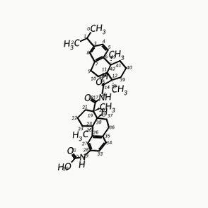 CC(C)c1ccc2c(c1)CC[C@H]1[C@](C)(C(=O)NC(=O)[C@@]3(C)CCC[C@]4(C)c5cc(NC(=O)O)ccc5CC[C@@H]34)CCC[C@]21C